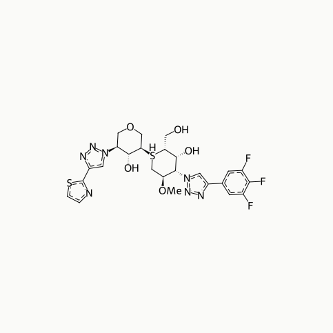 CO[C@H]1C[SH]([C@@H]2COC[C@H](n3cc(-c4nccs4)nn3)[C@H]2O)[C@H](CO)[C@H](O)[C@@H]1n1cc(-c2cc(F)c(F)c(F)c2)nn1